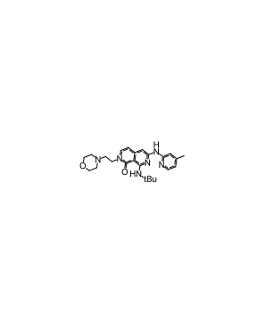 Cc1ccnc(Nc2cc3ccn(CCN4CCOCC4)c(=O)c3c(NC(C)(C)C)n2)c1